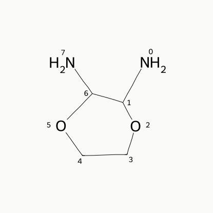 NC1OCCOC1N